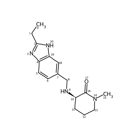 CCc1nc2ccc(CN[C@@H]3CCCN(C)C3=O)cc2[nH]1